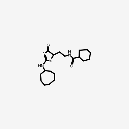 O=C(NCCC1SC(NC2CCCCCCC2)=NC1=O)C1CCCCC1